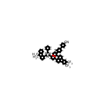 CC1(C)c2ccccc2-c2c(-c3nc(-c4ccccc4)nc(-c4ccc(-c5ccc6c7c(ccc(-c8cccc9sc%10cc(-c%11ccc(C#N)cc%11)ccc%10c89)c57)-c5cc(C(F)(F)F)c(C(F)(F)F)cc5-6)cc4)n3)cccc21